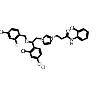 O=C(CC[n+]1ccn(CC(OCc2ccc(Cl)cc2Cl)c2ccc(Cl)cc2Cl)c1)Nc1ccccc1Cl.[Cl-]